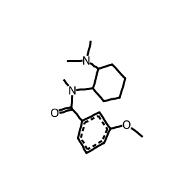 COc1cccc(C(=O)N(C)C2CCCCC2N(C)C)c1